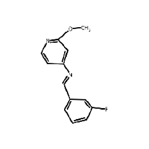 COc1cc(/N=C/c2cccc(F)c2)ccn1